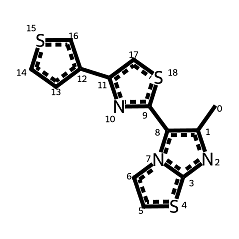 Cc1nc2sccn2c1-c1nc(-c2ccsc2)cs1